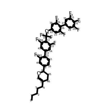 CCCCCC1=COC(c2ccc(-c3cc(F)c(C(F)(F)Oc4cc(F)c(-c5cc(F)c(F)c(F)c5)c(F)c4)c(F)c3)c(F)c2)CC1